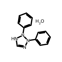 C1=NN(c2ccccc2)N(c2ccccc2)N1.O